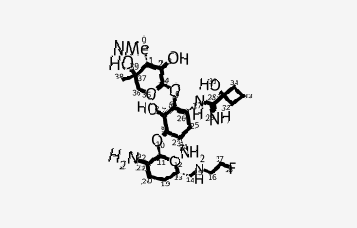 CN[C@@H]1C(O)[C@@H](OC2C(O)C(O[C@H]3O[C@H](CNCCF)CCC3N)[C@@H](N)C[C@H]2NC(=N)C2(O)CCC2)OCC1(C)O